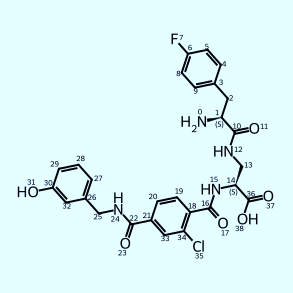 N[C@@H](Cc1ccc(F)cc1)C(=O)NC[C@H](NC(=O)c1ccc(C(=O)NCc2cccc(O)c2)cc1Cl)C(=O)O